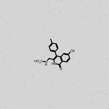 Cc1ccc(-c2c(CNC(=O)O)[nH]c(=O)c3ccc(C#N)cc23)cc1